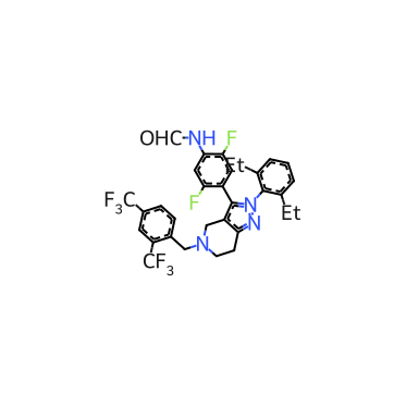 CCc1cccc(CC)c1-n1nc2c(c1-c1cc(F)c(NC=O)cc1F)CN(Cc1ccc(C(F)(F)F)cc1C(F)(F)F)CC2